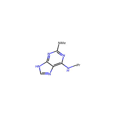 CNc1nc(NC(C)C)c2nc[nH]c2n1